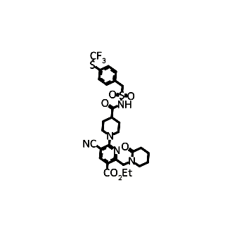 CCOC(=O)c1cc(C#N)c(N2CCC(C(=O)NS(=O)(=O)Cc3ccc(SC(F)(F)F)cc3)CC2)nc1CN1CCCCC1=O